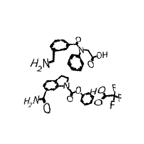 NC(=O)c1ccc2c(c1)N(C(=O)Oc1ccccc1)CC2.NCc1cccc(C(=O)N(CC(=O)O)c2ccccc2)c1.O=C(O)C(F)(F)F